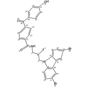 O=C(NCC(F)Cn1c2ccc(Br)cc2c2cc(Br)ccc21)c1ccc(C(=O)c2ccc(O)cc2)cc1